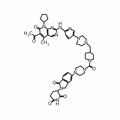 CC(=O)c1c(C)c2cnc(Nc3ccc(N4CCN(CC5CCN(C(=O)N6CCN(c7ccc8c(c7)CN(C7CCC(=O)NC7=O)C8=O)CC6)CC5)CC4)cn3)nc2n(C2CCCC2)c1=O